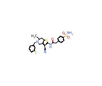 CC1Cc2sc(NC(=O)Cc3ccc(S(N)(=O)=O)cc3)c(C#N)c2CN1Cc1cccc(F)c1